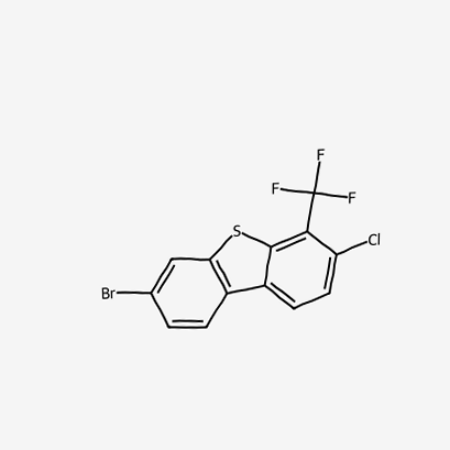 FC(F)(F)c1c(Cl)ccc2c1sc1cc(Br)ccc12